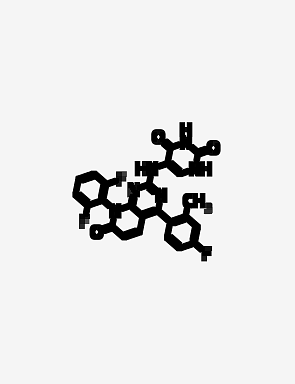 Cc1cc(F)ccc1-c1nc(Nc2c[nH]c(=O)[nH]c2=O)nc2c1ccc(=O)n2-c1c(F)cccc1F